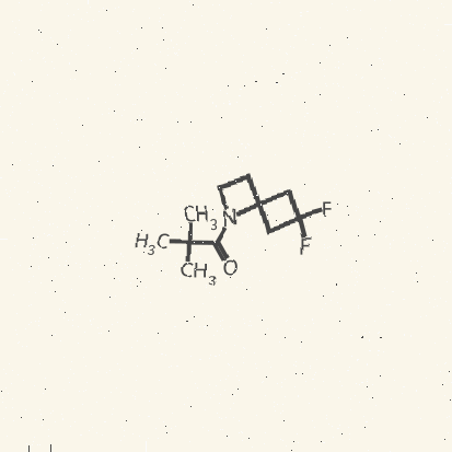 CC(C)(C)C(=O)N1CCC12CC(F)(F)C2